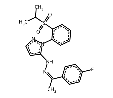 CC(=NNc1ccnn1-c1ccccc1S(=O)(=O)C(C)C)c1ccc(F)cc1